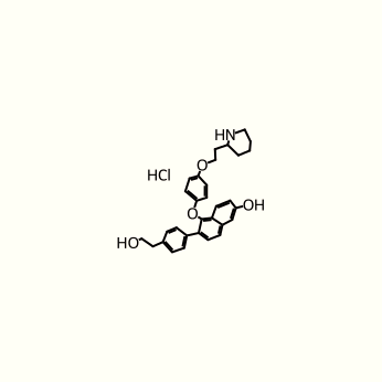 Cl.OCCc1ccc(-c2ccc3cc(O)ccc3c2Oc2ccc(OCCC3CCCCN3)cc2)cc1